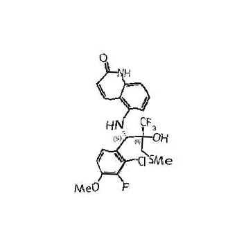 COc1ccc([C@H](Nc2cccc3[nH]c(=O)ccc23)[C@](O)(CSC)C(F)(F)F)c(Cl)c1F